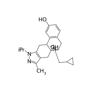 Cc1nn(C(C)C)c2c1C[C@]1(O)C3Cc4ccc(O)cc4[C@]1(CCN3CC1CC1)C2